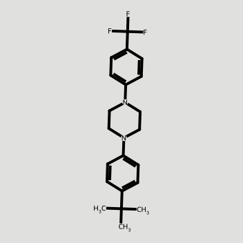 CC(C)(C)c1ccc(N2CCN(c3ccc(C(F)(F)F)cc3)CC2)cc1